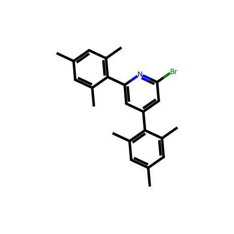 Cc1cc(C)c(-c2cc(Br)nc(-c3c(C)cc(C)cc3C)c2)c(C)c1